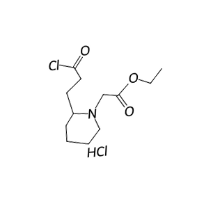 CCOC(=O)CN1CCCCC1CCC(=O)Cl.Cl